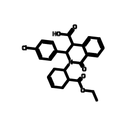 CCOC(=O)C1CC=CCC1N1C(=O)c2ccccc2C(C(=O)O)C1c1ccc(Cl)cc1